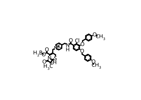 BOC(=O)C1=C(C[N+]23CCC(CNC(=O)c4ccc(OCc5ccc(OC)cc5)c(OCc5ccc(OC)cc5)c4Cl)(CC2)CC3)CS[C@@H]2[C@H](C)C(=O)N12